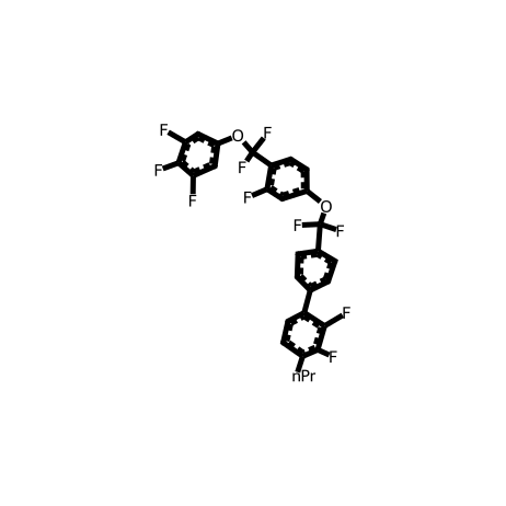 CCCc1ccc(-c2ccc(C(F)(F)Oc3ccc(C(F)(F)Oc4cc(F)c(F)c(F)c4)c(F)c3)cc2)c(F)c1F